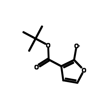 CC(C)(C)OC(=O)c1ccoc1[O]